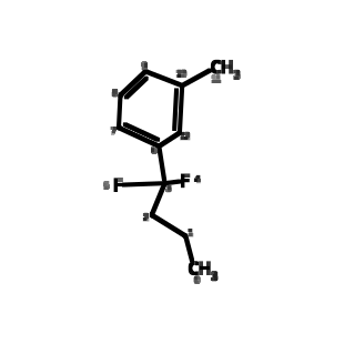 CCCC(F)(F)c1cccc(C)c1